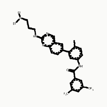 CCN(CC)CCCNc1ncc2cc(-c3cc(NC(=O)c4cc(C(F)(F)F)cc(C(F)(F)F)c4)ccc3C)ccc2n1